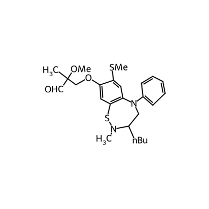 CCCCC1CN(c2ccccc2)c2cc(SC)c(OCC(C)(C=O)OC)cc2SN1C